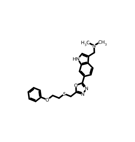 CN(C)Cc1c[nH]c2cc(-c3nnc(CSCCOc4ccccc4)o3)ccc12